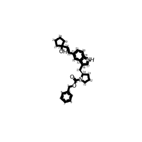 O=C(OCc1ccccc1)N1CCC[C@@H]1Cc1c[nH]c2ccc(C=CC3(O)CCCC3)cc12